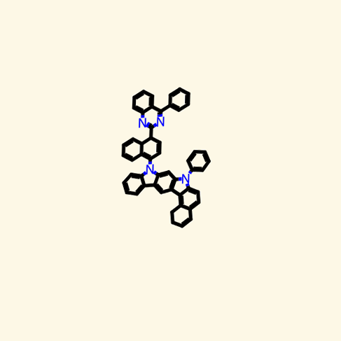 C1=CC2=C(n3c4ccccc4c4cc5c6c7c(ccc6n(-c6ccccc6)c5cc43)C=CCC7)C=CC(c3nc(-c4ccccc4)c4ccccc4n3)C2C=C1